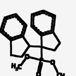 COP(=O)(OC)C1(C2CCc3ccccc32)CCc2ccccc21